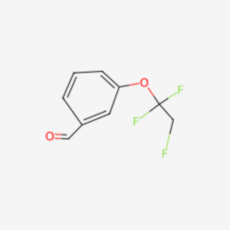 O=Cc1cccc(OC(F)(F)CF)c1